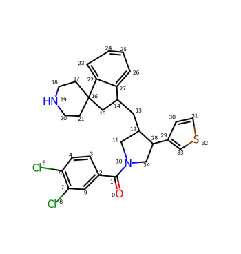 O=C(c1ccc(Cl)c(Cl)c1)N1CC(CC2CC3(CCNCC3)c3ccccc32)C(c2ccsc2)C1